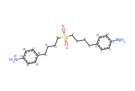 Nc1ccc(CCCCS(=O)(=O)CCCCc2ccc(N)cc2)cc1